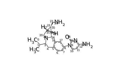 CC(C)C(Cc1ccc(-n2ccc(N)nc2=O)cc1)N1C[C@@H]2[C@@H](CN)[C@@H]2C1